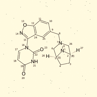 CN1[C@@H]2CC[C@H]1CN(Cc1ccc3onc(-n4ccc(=O)[nH]c4=O)c3c1)C2